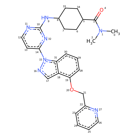 CN(C)C(=O)C1CCC(Nc2nccc(-n3ncc4c(OCc5ccccn5)cccc43)n2)CC1